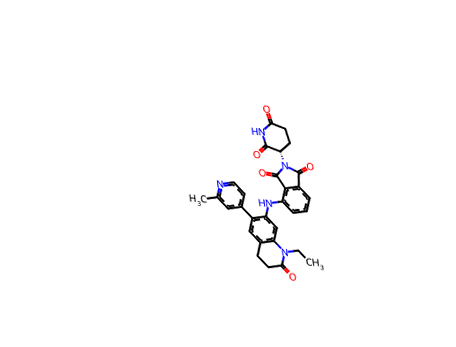 CCN1C(=O)CCc2cc(-c3ccnc(C)c3)c(Nc3cccc4c3C(=O)N([C@H]3CCC(=O)NC3=O)C4=O)cc21